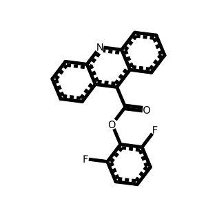 O=C(Oc1c(F)cccc1F)c1c2ccccc2nc2ccccc12